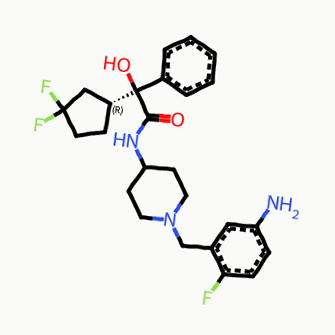 Nc1ccc(F)c(CN2CCC(NC(=O)C(O)(c3ccccc3)[C@@H]3CCC(F)(F)C3)CC2)c1